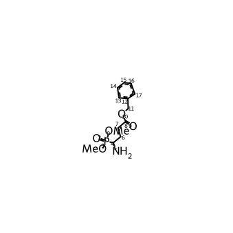 COP(=O)(OC)C(N)CCC(=O)OCc1ccccc1